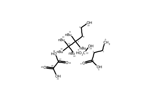 CCCC(=O)O.CCCCC(CCO)(CCCC)C(CCCC)(CCCC)CCCC.O=C(O)C(=O)O.O=C(O)O